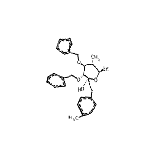 CC[C@H]1O[C@@](O)(Cc2ccc(C)cc2)[C@H](OCc2ccccc2)[C@@H](OCc2ccccc2)[C@@H]1C